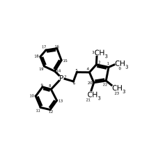 CC1=C(C)C(CCP(c2ccccc2)c2ccccc2)C(C)=C1C